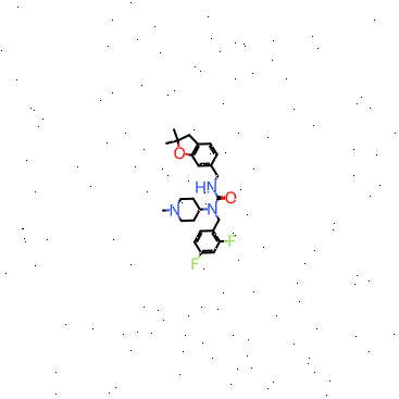 CN1CCC(N(Cc2ccc(F)cc2F)C(=O)NCc2ccc3c(c2)OC(C)(C)C3)CC1